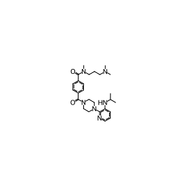 CC(C)Nc1cccnc1N1CCN(C(=O)c2ccc(C(=O)N(C)CCCN(C)C)cc2)CC1